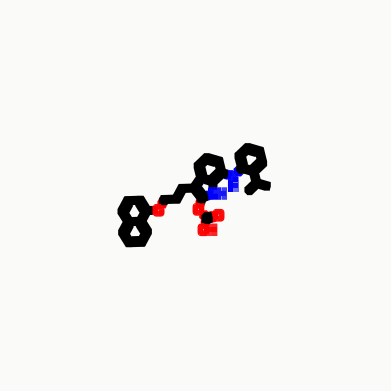 CC(C)c1ccccc1Nc1cccc2c(CCCOc3cccc4ccccc34)c(OC(=O)O)[nH]c12